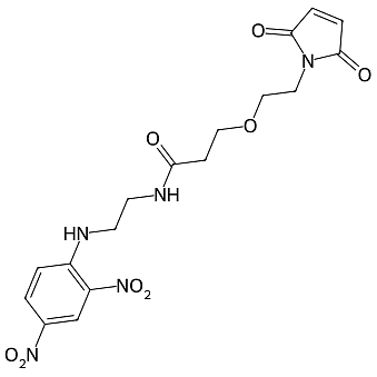 O=C(CCOCCN1C(=O)C=CC1=O)NCCNc1ccc([N+](=O)[O-])cc1[N+](=O)[O-]